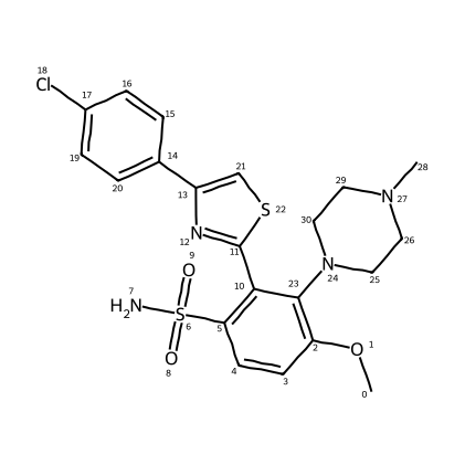 COc1ccc(S(N)(=O)=O)c(-c2nc(-c3ccc(Cl)cc3)cs2)c1N1CCN(C)CC1